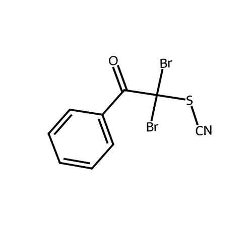 N#CSC(Br)(Br)C(=O)c1ccccc1